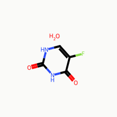 O.O=c1[nH]cc(F)c(=O)[nH]1